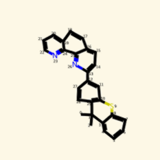 CC1(C)c2ccccc2Sc2cc(-c3ccc4ccc5cccnc5c4n3)ccc21